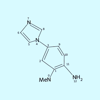 CNc1cc(-n2ccnc2)ccc1N